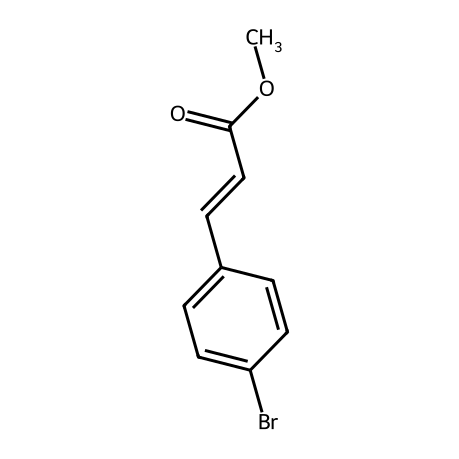 COC(=O)/C=C/c1ccc(Br)cc1